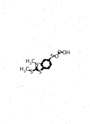 CSc1sc2ccc(SOOO)cc2[n+]1C